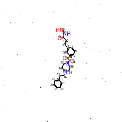 O=C(/C=C/c1cccc(S(=O)(=O)N2CCN(CCc3ccccc3)CC2)c1)NO